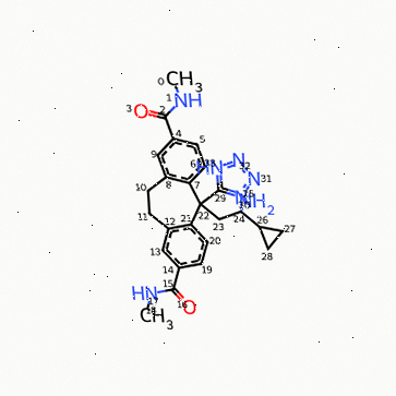 CNC(=O)c1ccc2c(c1)CCc1cc(C(=O)NC)ccc1C2(C[C@H](N)C1CC1)c1nnn[nH]1